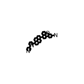 N#Cc1ccc2c(c1)Oc1cccc3c(-c4ccc5ccc6c(-c7cccc(-c8ccncc8)n7)ccc7ccc4c5c76)ccc-2c13